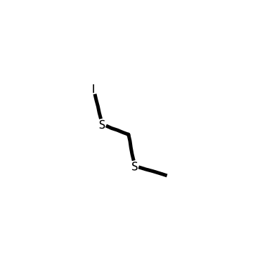 CSCSI